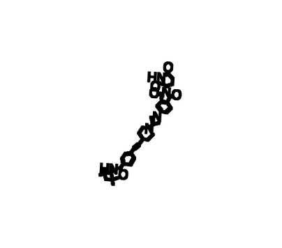 CC1(C)CC(C)(C)C1NC(=O)c1ccc(C#CC2CCN(C3CN(c4ccc5c(c4)C(=O)N(C4CCC(=O)NC4=O)C5=O)C3)CC2)cc1